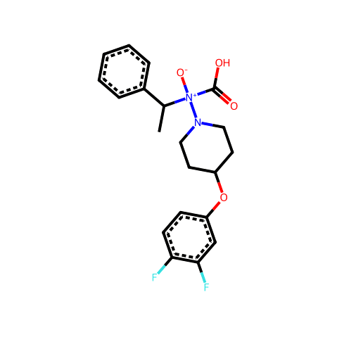 CC(c1ccccc1)[N+]([O-])(C(=O)O)N1CCC(Oc2ccc(F)c(F)c2)CC1